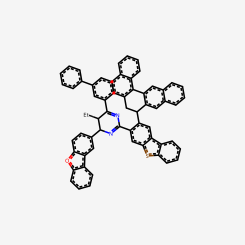 CCC1C(c2cccc(-c3ccccc3)c2)=NC(c2cc3sc4ccccc4c3cc2C2Cc3ccc4ccccc4c3-c3cc4ccccc4cc32)=NC1c1ccc2oc3ccccc3c2c1